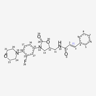 O=C(/C=C/c1ccccc1)NCC1CN(c2ccc(N3CCOCC3)c(F)c2)C(=O)O1